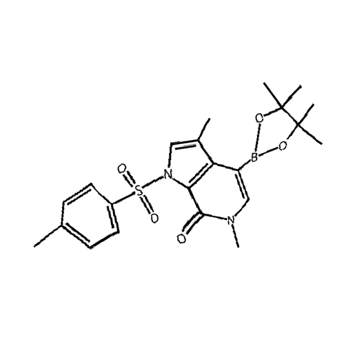 Cc1ccc(S(=O)(=O)n2cc(C)c3c(B4OC(C)(C)C(C)(C)O4)cn(C)c(=O)c32)cc1